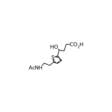 CC(=O)NCCc1ccc(C(O)CCC(=O)O)s1